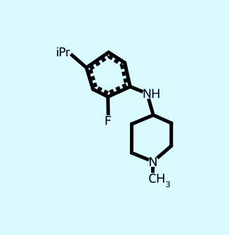 CC(C)c1ccc(NC2CCN(C)CC2)c(F)c1